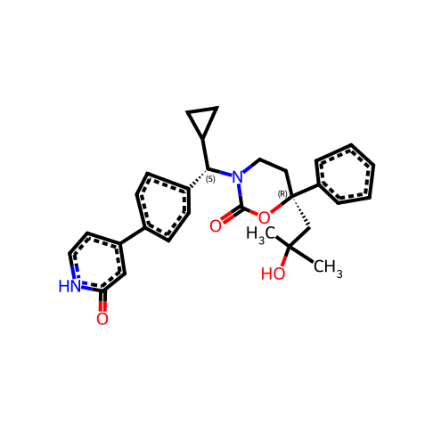 CC(C)(O)C[C@@]1(c2ccccc2)CCN([C@H](c2ccc(-c3cc[nH]c(=O)c3)cc2)C2CC2)C(=O)O1